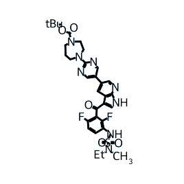 CCN(C)S(=O)(=O)Nc1ccc(F)c(C(=O)c2c[nH]c3ncc(-c4cnc(N5CCCN(C(=O)OC(C)(C)C)CC5)nc4)cc23)c1F